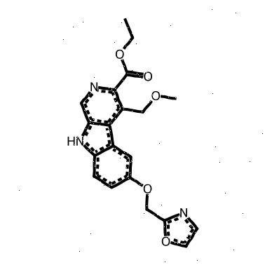 CCOC(=O)c1ncc2[nH]c3ccc(OCc4ncco4)cc3c2c1COC